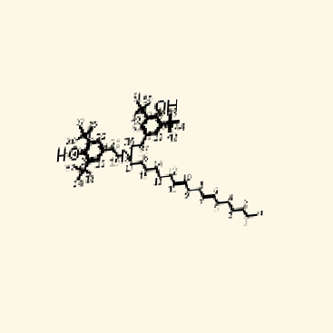 CCCCCCCCCCCCCCCCCCN(CCc1cc(C(C)(C)C)c(O)c(C(C)(C)C)c1)CCc1cc(C(C)(C)C)c(O)c(C(C)(C)C)c1